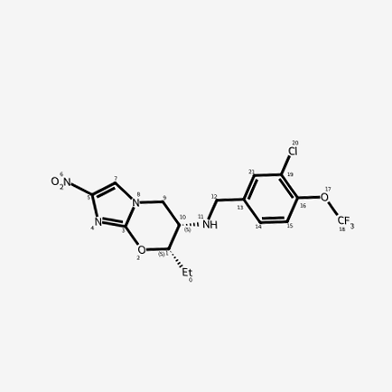 CC[C@@H]1Oc2nc([N+](=O)[O-])cn2C[C@@H]1NCc1ccc(OC(F)(F)F)c(Cl)c1